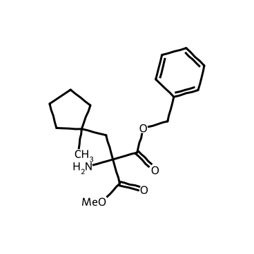 COC(=O)C(N)(CC1(C)CCCC1)C(=O)OCc1ccccc1